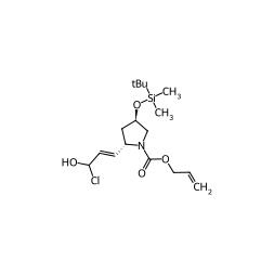 C=CCOC(=O)N1C[C@H](O[Si](C)(C)C(C)(C)C)C[C@H]1C=CC(O)Cl